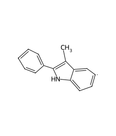 Cc1c(-c2ccccc2)[nH]c2cc[c]cc12